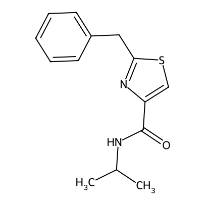 CC(C)NC(=O)c1csc(Cc2ccccc2)n1